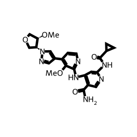 COc1c(-c2cnn([C@@H]3COC[C@@H]3OC)c2)ccnc1Nc1cc(NC(=O)C2CC2)ncc1C(N)=O